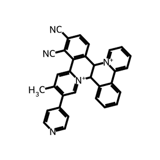 Cc1cc2[n+](cc1-c1ccncc1)C1c3ccccc3-c3cccc[n+]3C1c1ccc(C#N)c(C#N)c1-2